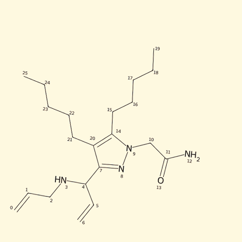 C=CCNC(C=C)c1nn(CC(N)=O)c(CCCCC)c1CCCCC